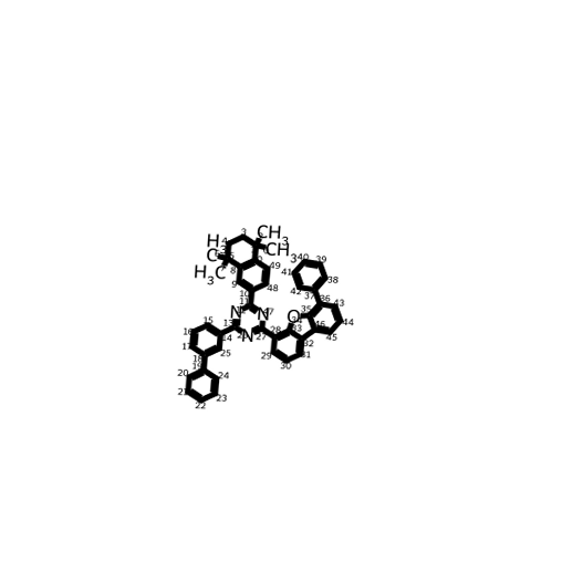 CC1(C)CCC(C)(C)c2cc(-c3nc(-c4cccc(-c5ccccc5)c4)nc(-c4cccc5c4oc4c(-c6ccccc6)cccc45)n3)ccc21